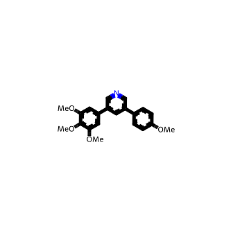 COc1ccc(-c2cncc(-c3cc(OC)c(OC)c(OC)c3)c2)cc1